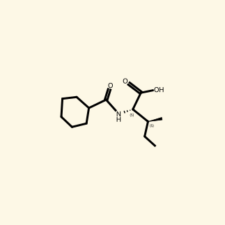 CC[C@H](C)[C@H](NC(=O)C1CCCCC1)C(=O)O